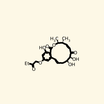 CCC(=O)COc1cc(O)c2c(c1)/C=C/C[C@H](O)[C@H](O)C(=O)/C=C\[C@@H](C)[C@H](C)OC2=O